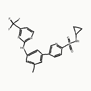 Cc1cc(Nc2nccc(C(F)(F)F)n2)cc(-c2ccc(S(=O)(=O)NC3CC3)nc2)c1